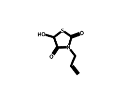 C=CCN1C(=O)SC(O)C1=O